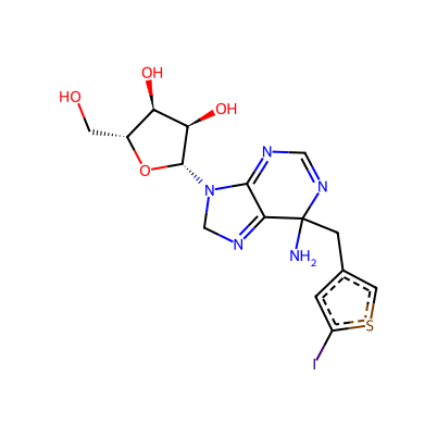 NC1(Cc2csc(I)c2)N=CN=C2C1=NCN2[C@@H]1O[C@H](CO)[C@@H](O)[C@H]1O